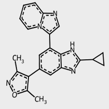 Cc1noc(C)c1-c1cc(-c2cnc3ccccn23)c2[nH]c(C3CC3)nc2c1